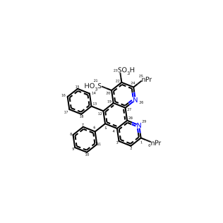 CCCc1ccc2c(-c3ccccc3)c(-c3ccccc3)c3c(S(=O)(=O)O)c(S(=O)(=O)O)c(CCC)nc3c2n1